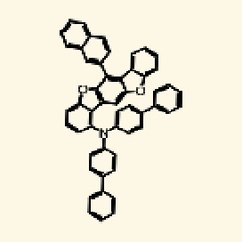 c1ccc(-c2ccc(N(c3ccc(-c4ccccc4)cc3)c3cccc4oc5c(-c6ccc7ccccc7c6)c6c(cc5c34)oc3ccccc36)cc2)cc1